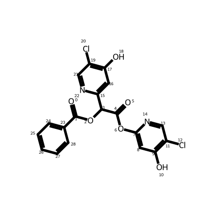 O=C(OC(C(=O)Oc1cc(O)c(Cl)cn1)c1cc(O)c(Cl)cn1)c1ccccc1